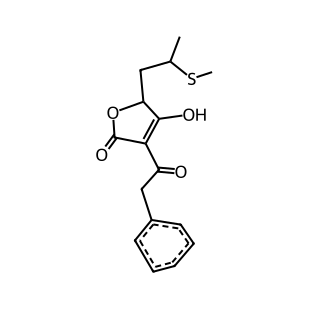 CSC(C)CC1OC(=O)C(C(=O)Cc2ccccc2)=C1O